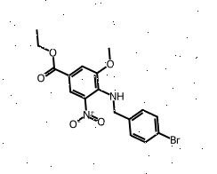 CCOC(=O)c1cc(OC)c(NCc2ccc(Br)cc2)c([N+](=O)[O-])c1